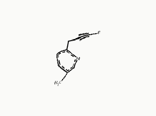 [CH2]c1ccc(CC#CF)nc1